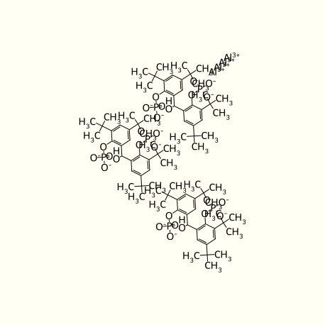 CC(C)(C)c1cc(C(O)c2cc(C(C)(C)C)cc(C(C)(C)C)c2OP(=O)([O-])[O-])c(OP(=O)([O-])[O-])c(C(C)(C)C)c1.CC(C)(C)c1cc(C(O)c2cc(C(C)(C)C)cc(C(C)(C)C)c2OP(=O)([O-])[O-])c(OP(=O)([O-])[O-])c(C(C)(C)C)c1.CC(C)(C)c1cc(C(O)c2cc(C(C)(C)C)cc(C(C)(C)C)c2OP(=O)([O-])[O-])c(OP(=O)([O-])[O-])c(C(C)(C)C)c1.[Al+3].[Al+3].[Al+3].[Al+3]